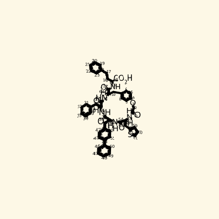 O=C1COc2ccc(cc2)C[C@@H](C(=O)N[C@@H](CCc2ccccc2)C(=O)O)NC(=O)[C@H](Cc2ccccc2)NC(=O)[C@H](Cc2ccc(-c3ccccc3)cc2)NC(=O)[C@H](Cc2cccs2)N1